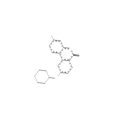 O=c1oc2cc(O)ccc2c2cc(OC3CCCCC3)ccc12